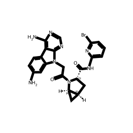 Nc1ccc2c3c(N)ncnc3n(CC(=O)N3[C@@H]4C[C@@H]4C[C@H]3C(=O)Nc3cccc(Br)n3)c2c1